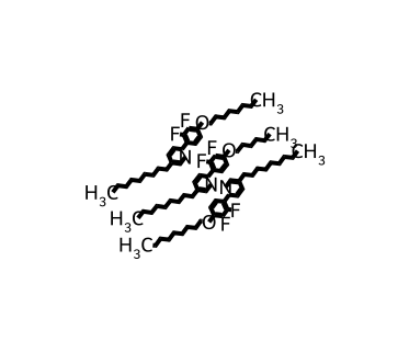 CCCCCCCCCOc1ccc(-c2ccc(CCCCCCCCC)cn2)c(F)c1F.CCCCCCCCCc1ccc(-c2ccc(OCCCCCC)c(F)c2F)nc1.CCCCCCCCCc1ccc(-c2ccc(OCCCCCCCC)c(F)c2F)nc1